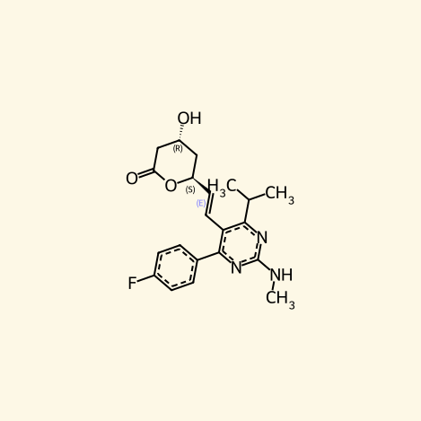 CNc1nc(-c2ccc(F)cc2)c(/C=C/[C@@H]2C[C@@H](O)CC(=O)O2)c(C(C)C)n1